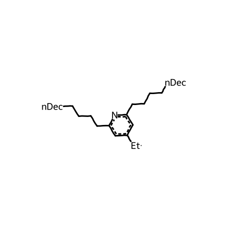 C[CH]c1cc(CCCCCCCCCCCCCC)nc(CCCCCCCCCCCCCC)c1